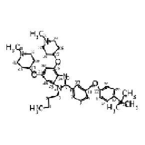 CCCCn1c(-c2cccc(Oc3ccc(C(C)(C)C)cc3)c2)nc2c(OC3CCN(C)CC3)cc(OC3CCN(C)CC3)cc21